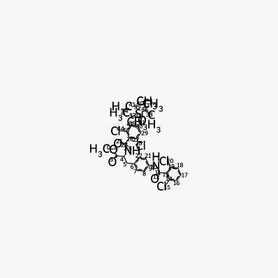 COC(=O)C(Cc1ccc(NC(=O)c2c(Cl)cccc2Cl)cc1)NC(=O)c1c(Cl)cc(O[Si](C(C)C)(C(C)C)C(C)C)cc1Cl